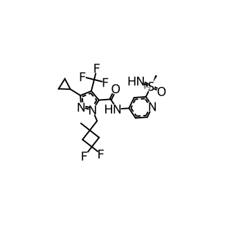 CC1(Cn2nc(C3CC3)c(C(F)(F)F)c2C(=O)Nc2ccnc([S@](C)(=N)=O)c2)CC(F)(F)C1